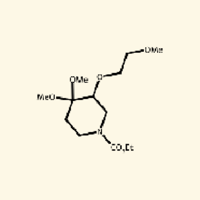 CCOC(=O)N1CCC(OC)(OC)C(OCCOC)C1